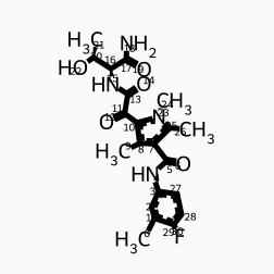 Cc1cc(NC(=O)c2c(C)c(C(=O)C(=O)N[C@H](C(N)=O)[C@H](C)O)n(C)c2C)ccc1F